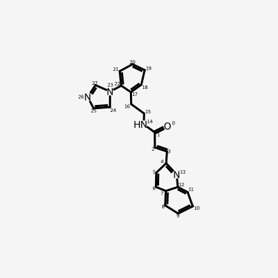 O=C(/C=C/c1ccc2ccccc2n1)NCCc1ccccc1-n1ccnc1